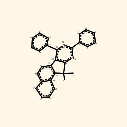 CC1(C)c2nc(-c3ccccc3)nc(-c3ccccc3)c2-c2ccc3ccccc3c21